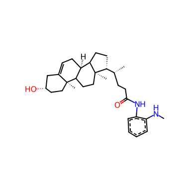 CNc1ccccc1NC(=O)CC[C@@H](C)[C@H]1CCC2[C@@H]3CC=C4C[C@@H](O)CC[C@]4(C)C3CC[C@@]21C